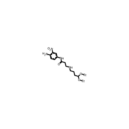 CCOC(CCCNCCC(=O)Nc1ccc(N)c([N+](=O)[O-])c1)OCC